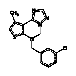 Cc1csc2c1-c1ncnn1CN2Cc1cccc(Cl)c1